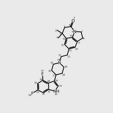 CC1(C)CC(=O)N2CCc3cc(CCN4CCC(c5c[nH]c6cc(F)cc(F)c56)CC4)cc1c32